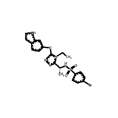 CCn1c(Oc2ccc3cc[nH]c3c2)nnc1[C@@H](C)NS(=O)(=O)c1ccc(Br)cc1